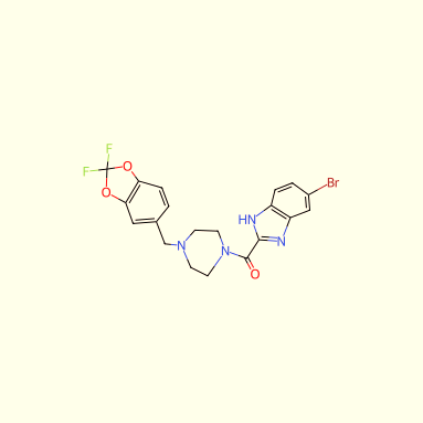 O=C(c1nc2cc(Br)ccc2[nH]1)N1CCN(Cc2ccc3c(c2)OC(F)(F)O3)CC1